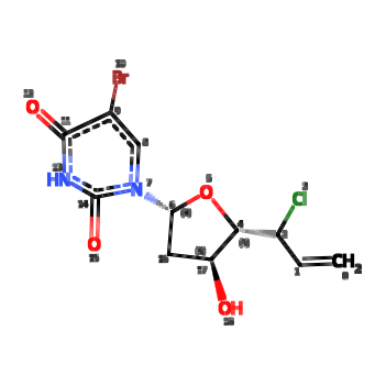 C=CC(Cl)[C@H]1O[C@@H](n2cc(Br)c(=O)[nH]c2=O)C[C@@H]1O